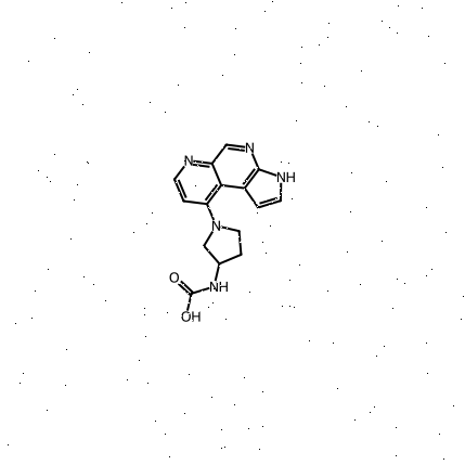 O=C(O)NC1CCN(c2ccnc3cnc4[nH]ccc4c23)C1